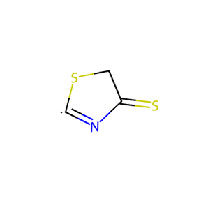 S=C1CS[C]=N1